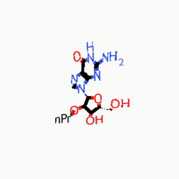 CCCOC1C(O)[C@@H](CO)O[C@H]1n1cnc2c(=O)[nH]c(N)nc21